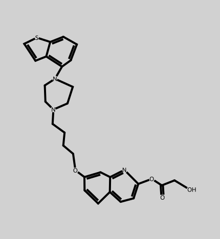 O=C(CO)Oc1ccc2ccc(OCCCCN3CCN(c4cccc5sccc45)CC3)cc2n1